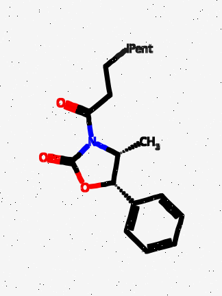 CCCC(C)CCC(=O)N1C(=O)O[C@@H](c2ccccc2)[C@H]1C